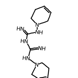 N=C(NC(=N)NN1CC=CCC1)NN1CC=CCC1